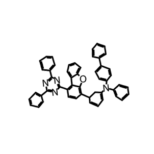 C1=CC(c2ccc(-c3nc(-c4ccccc4)nc(-c4ccccc4)n3)c3c2oc2ccccc23)CC(N(c2ccccc2)c2ccc(-c3ccccc3)cc2)=C1